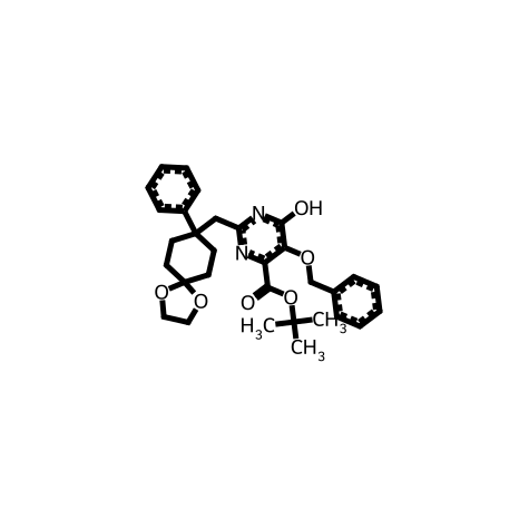 CC(C)(C)OC(=O)c1nc(CC2(c3ccccc3)CCC3(CC2)OCCO3)nc(O)c1OCc1ccccc1